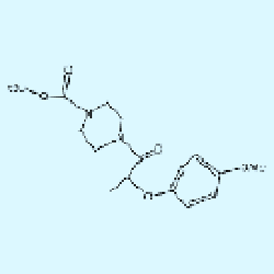 COc1ccc(OC(C)C(=O)N2CCN(C(=O)OC(C)(C)C)CC2)cc1